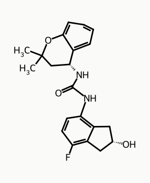 CC1(C)C[C@@H](NC(=O)Nc2ccc(F)c3c2C[C@H](O)C3)c2ccccc2O1